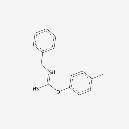 Cc1ccc(OC(S)=[SH]Cc2ccccc2)cc1